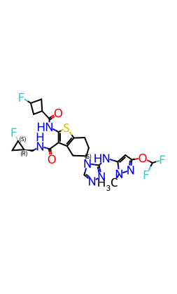 Cn1nc(OC(F)F)cc1Nc1nncn1[C@H]1CCc2sc(NC(=O)C3CC(F)C3)c(C(=O)NC[C@H]3C[C@@H]3F)c2C1